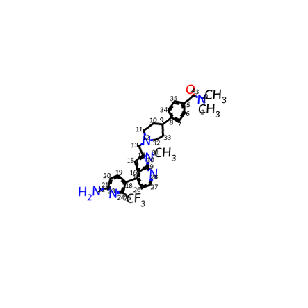 CN(C)C(=O)c1ccc(C2CCN(Cc3cc4c(-c5ccc(N)nc5C(F)(F)F)ccnc4n3C)CC2)cc1